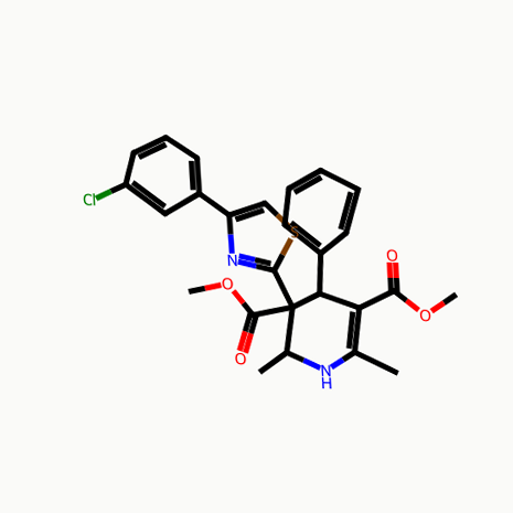 COC(=O)C1=C(C)NC(C)C(C(=O)OC)(c2nc(-c3cccc(Cl)c3)cs2)C1c1ccccc1